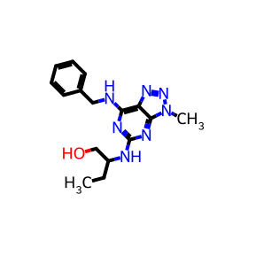 CCC(CO)Nc1nc(NCc2ccccc2)c2nnn(C)c2n1